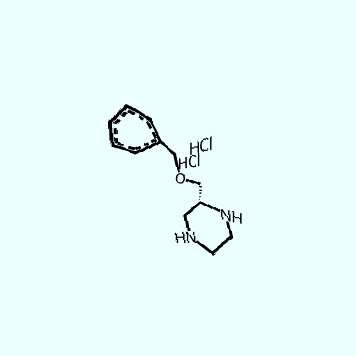 Cl.Cl.c1ccc(COC[C@H]2CNCCN2)cc1